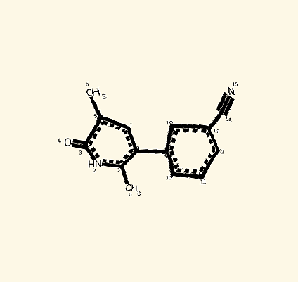 Cc1[nH]c(=O)c(C)cc1-c1cccc(C#N)c1